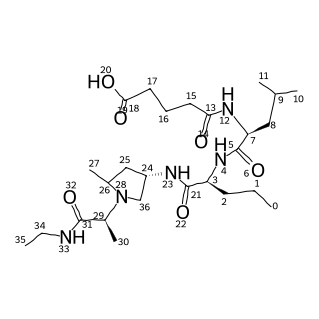 CCC[C@H](NC(=O)[C@H](CC(C)C)NC(=O)CCCC(=O)O)C(=O)N[C@H]1CC(C)N([C@@H](C)C(=O)NCC)C1